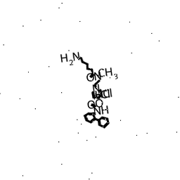 CN(CCN1CCC(OC(=O)Nc2ccccc2-c2ccccc2)CC1)C(=O)CCCCCN.Cl.Cl